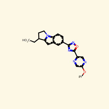 CC(C)Oc1cnc(-c2nc(-c3ccc4c(c3)cc3n4CCC3CC(=O)O)no2)cn1